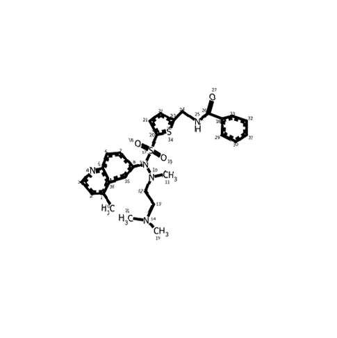 Cc1ccnc2ccc(N(N(C)CCN(C)C)S(=O)(=O)c3ccc(CNC(=O)c4ccccc4)s3)cc12